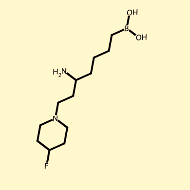 NC(CCCCB(O)O)CCN1CCC(F)CC1